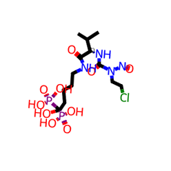 CC(C)[C@H](NC(=O)N(CCCl)N=O)C(=O)NCCCCC(O)(P(=O)(O)O)P(=O)(O)O